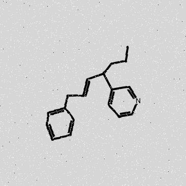 CCC[C](C=CCc1ccccc1)c1cccnc1